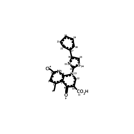 Cc1cc(Cl)nc2c1c(=O)c(C(=O)O)cn2-c1nc(-c2ccccc2)cs1